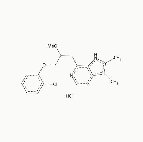 COC(COc1ccccc1Cl)Cc1nccc2c(C)c(C)[nH]c12.Cl